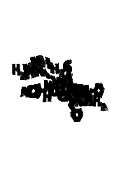 CCCC[C@@H](NC(=O)C(Cc1ccccc1)NC(=O)[C@H](N)Cc1ccccc1)C(=O)N[C@H](CCCNC(=N)N)C(=O)NCc1ccncc1